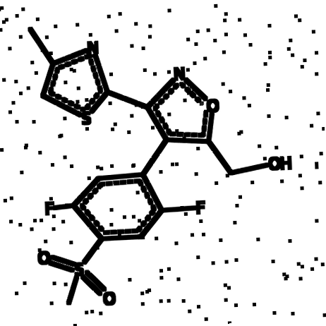 Cc1csc(-c2noc(CO)c2-c2cc(F)c(S(C)(=O)=O)cc2F)n1